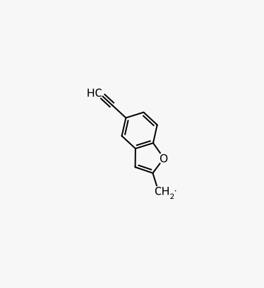 C#Cc1ccc2oc([CH2])cc2c1